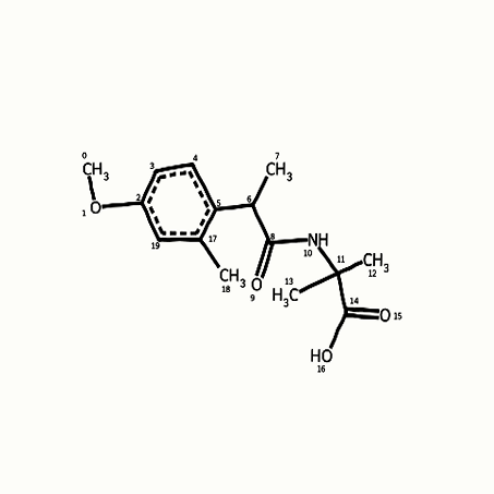 COc1ccc(C(C)C(=O)NC(C)(C)C(=O)O)c(C)c1